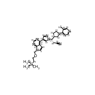 C[Si](C)(C)CCOCn1ccc2c(-c3cnn([C@@H](CC#N)[C@H]4CCN(c5ncncc5I)C4)c3)ncnc21